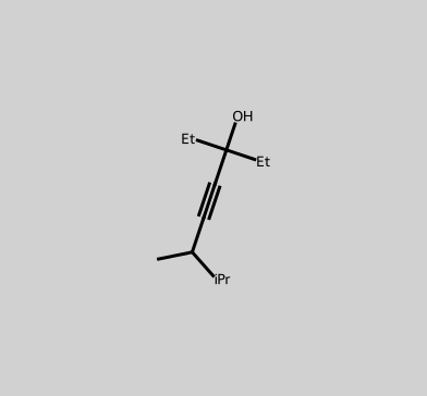 CCC(O)(C#CC(C)C(C)C)CC